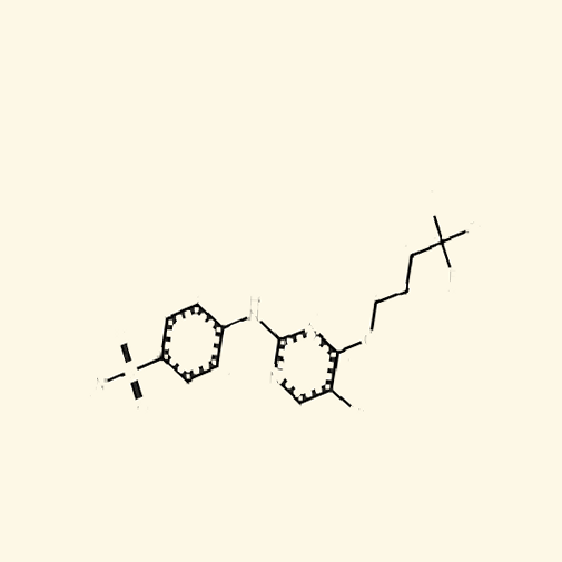 NS(=O)(=O)c1ccc(Nc2ncc(Br)c(OCCCC(F)(F)F)n2)cc1